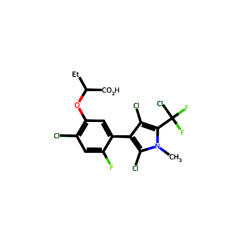 CCC(Oc1cc(-c2c(Cl)c(C(F)(F)Cl)n(C)c2Cl)c(F)cc1Cl)C(=O)O